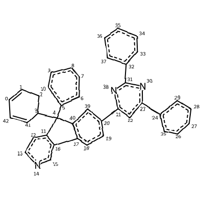 C1=CCC(C2(c3ccccc3)c3ccncc3-c3ccc(-c4cc(-c5ccccc5)nc(-c5ccccc5)n4)cc32)C=C1